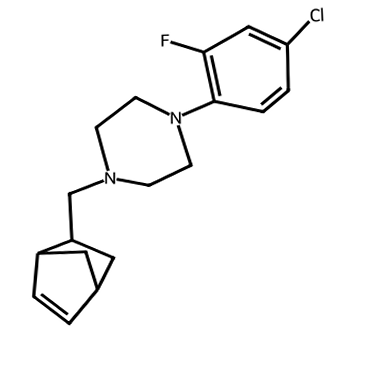 Fc1cc(Cl)ccc1N1CCN(CC2CC3C=CC2C3)CC1